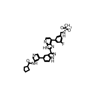 CS(=O)(=O)NCc1cc(F)cc(-c2ccnc3[nH]c(-c4n[nH]c5ccc(-c6cncc(NC(=O)C7CCCC7)c6)cc45)nc23)c1